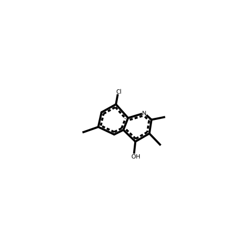 Cc1cc(Cl)c2nc(C)c(C)c(O)c2c1